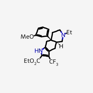 CCOC(=O)c1[nH]c2c(c1C(F)(F)F)C[C@@H]1CN(CC)CC[C@@]1(c1cccc(OC)c1)C2